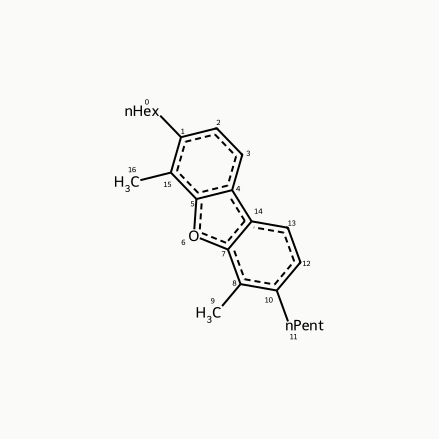 CCCCCCc1ccc2c(oc3c(C)c(CCCCC)ccc32)c1C